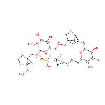 COC12CCCC1(COC1OC(COCC34CCC(C3)C(OC3OC(COCC56CC5(O[PH](=O)O)C6)C(O)C(O)C3O)C4)C(O)C(O)C1O)C2